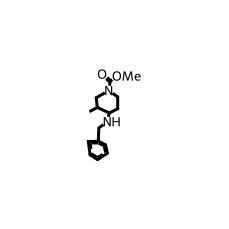 COC(=O)N1CCC(NCc2ccccc2)C(C)C1